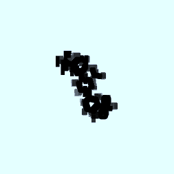 CC(C)[C@@H]1CN(c2ccc(F)c(S(C)(=O)=O)c2)CCN1c1cncc(C(F)(F)F)n1